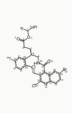 CCCC(F)OC(=O)CCC(CNC(=O)c1c(C)c(Cl)nc2ccc(Br)cc12)c1cc(F)ccc1Cl